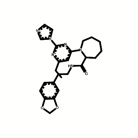 CCc1cc(N2CCCCCC2C(=O)NCCc2ccc3c(c2)OCO3)nc(-n2ccnc2)n1